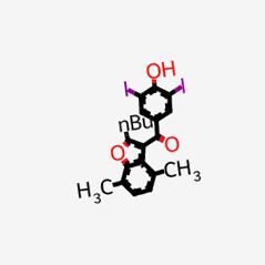 CCCCc1oc2c(C)ccc(C)c2c1C(=O)c1cc(I)c(O)c(I)c1